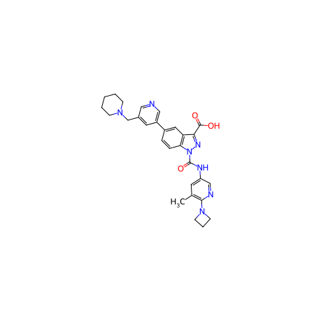 Cc1cc(NC(=O)n2nc(C(=O)O)c3cc(-c4cncc(CN5CCCCC5)c4)ccc32)cnc1N1CCC1